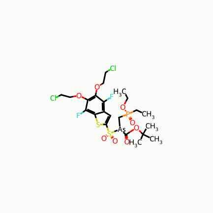 CCOP(=O)(CC)C[As](C(=O)OC(C)(C)C)S(=O)(=O)c1cc2c(F)c(OCCCl)c(OCCCl)c(F)c2s1